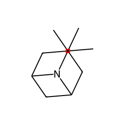 CC1CC2CC(C1)N2C(C)C